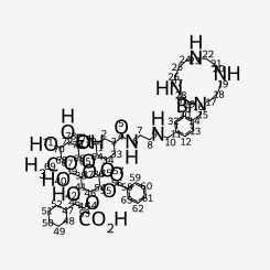 CCC1CC(C(=O)NCCNCc2ccc(CN3CCCNCCNCCCNCC3)c(Br)c2)CC(OC2OC(CO)C(O)C(O[C@@H](CC3CCCCC3)C(=O)O)C2OC(=O)c2ccccc2)C1OC1OC(C)C(O)C(O)C1O